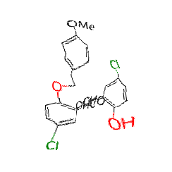 COc1ccc(COc2ccc(Cl)cc2C=O)cc1.O=Cc1cc(Cl)ccc1O